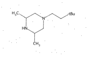 CC1CN(CCC(C)(C)C)CC(C)N1